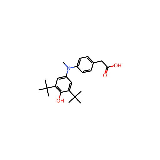 CN(c1ccc(CC(=O)O)cc1)c1cc(C(C)(C)C)c(O)c(C(C)(C)C)c1